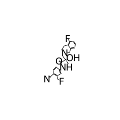 C[C@](O)(CN1CCc2c(F)cccc2C1)C(=O)Nc1ccc(C#N)c(CF)c1